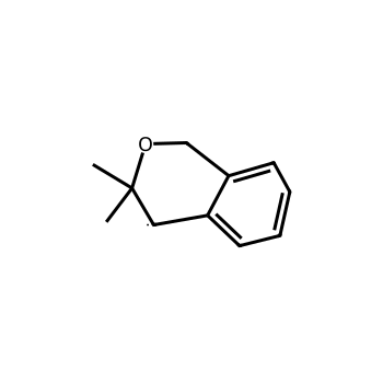 CC1(C)[CH]c2ccccc2CO1